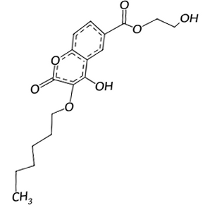 CCCCCCOc1c(O)c2cc(C(=O)OCCO)ccc2oc1=O